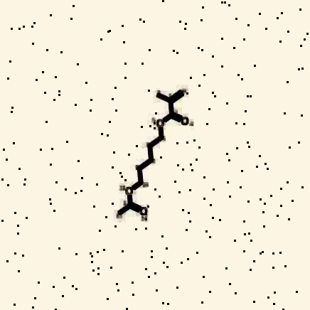 C=C(C)C(=O)OCCCCCOC(C)=O